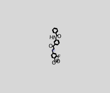 O=C(/C=C/c1ccc([N+](=O)[O-])c(F)c1)c1cccc(NC(=O)c2ccccc2)c1